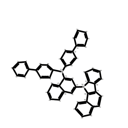 c1ccc(-c2ccc(N(c3ccc(-c4ccccc4)cc3)c3cc(-n4c5ccccc5c5ccc6ccccc6c54)cc4ccccc34)cc2)cc1